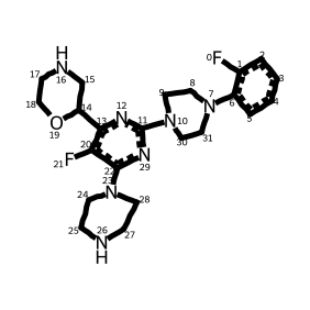 Fc1ccccc1N1CCN(c2nc(C3CNCCO3)c(F)c(N3CCNCC3)n2)CC1